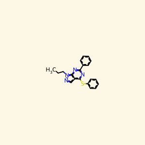 CCCn1ncc2c(Sc3ccccc3)nc(-c3ccccc3)nc21